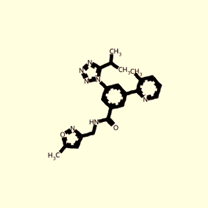 Cc1cc(CNC(=O)c2cc(-c3ncccc3C)cc(-n3nnnc3C(C)C)c2)no1